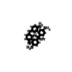 CCCC(CCC)(C1CCC(N)CC1)C1CCC(N)CC1.NC1CCC(CC2CCC(N)CC2)CC1